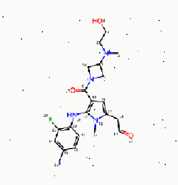 CN(CCO)C1CN(C(=O)c2cc(CC=O)n(C)c2Nc2ccc(I)cc2F)C1